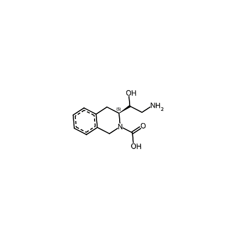 NCC(O)[C@@H]1Cc2ccccc2CN1C(=O)O